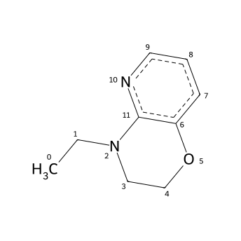 CCN1CCOc2cccnc21